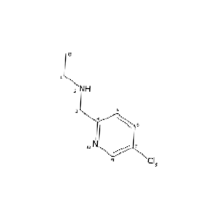 CCNCc1ccc(Cl)cn1